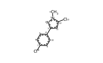 Cn1nc(-c2ccc(Cl)cc2)cc1Cl